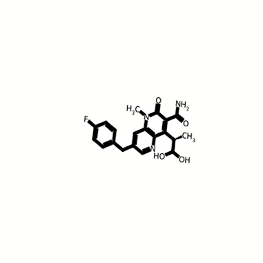 C[C@H](c1c(C(N)=O)c(=O)n(C)c2cc(Cc3ccc(F)cc3)cnc12)C(O)O